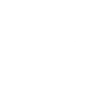 C#Cc1c[c]cc(OCCCC)c1